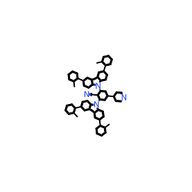 Cc1ccccc1-c1ccc2c(c1)c1cc(-c3ccccc3C)ccc1n2-c1cc(-c2ccncc2)cc(-n2c3ccc(-c4ccccc4C)cc3c3cc(-c4ccccc4C)ccc32)c1C#N